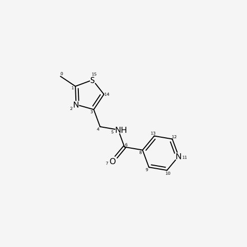 Cc1nc(CNC(=O)c2ccncc2)cs1